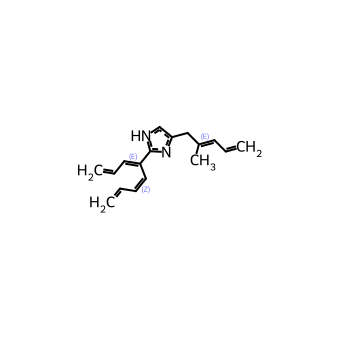 C=C/C=C\C(=C/C=C)c1nc(C/C(C)=C/C=C)c[nH]1